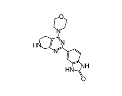 O=c1[nH]c2ccc(-c3nc4c(c(N5CCOCC5)n3)CCNC4)cc2[nH]1